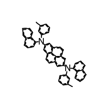 Cc1cccc(N(c2cc3ccc4cc(N(c5cccc(C)c5)c5cccc6ccccc56)cc5ccc(c2)c3c45)c2cccc3ccccc23)c1